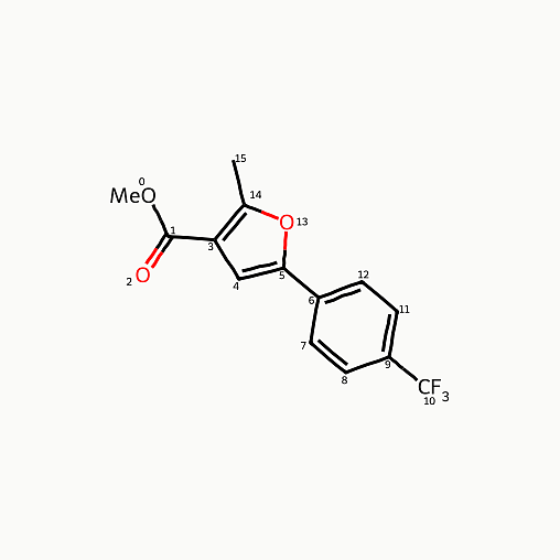 COC(=O)c1cc(-c2ccc(C(F)(F)F)cc2)oc1C